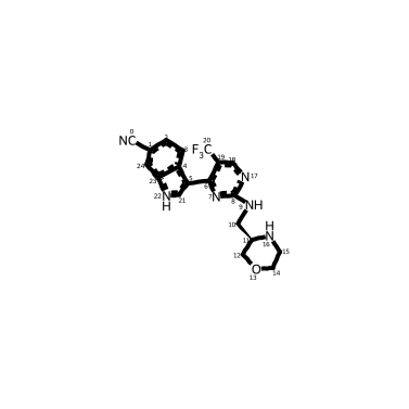 N#Cc1ccc2c(-c3nc(NC[C@@H]4COCCN4)ncc3C(F)(F)F)c[nH]c2c1